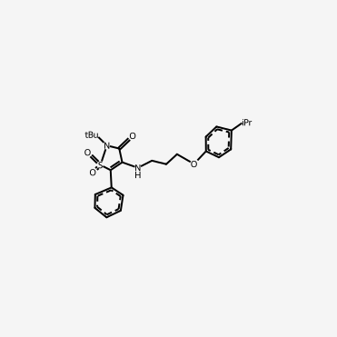 CC(C)c1ccc(OCCCNC2=C(c3ccccc3)S(=O)(=O)N(C(C)(C)C)C2=O)cc1